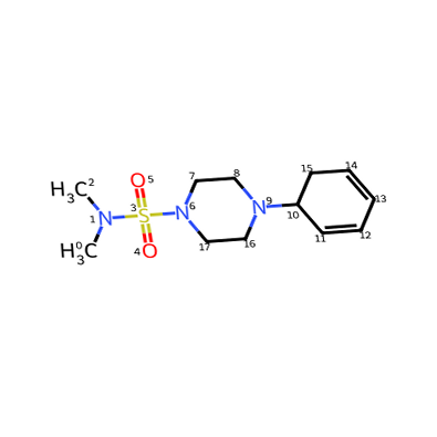 CN(C)S(=O)(=O)N1CCN(C2C=CC=CC2)CC1